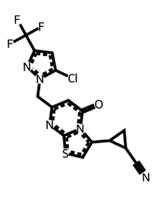 N#CC1CC1c1csc2nc(Cn3nc(C(F)(F)F)cc3Cl)cc(=O)n12